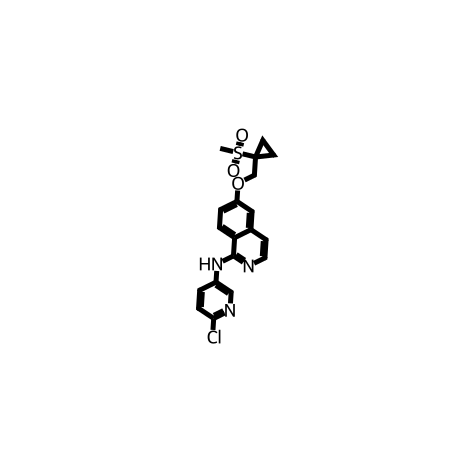 CS(=O)(=O)C1(COc2ccc3c(Nc4ccc(Cl)nc4)nccc3c2)CC1